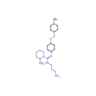 CC1CCCCN1/C(=N\c1ccc(OCc2ccc(C(C)(C)C)cc2)cc1)NCCCN